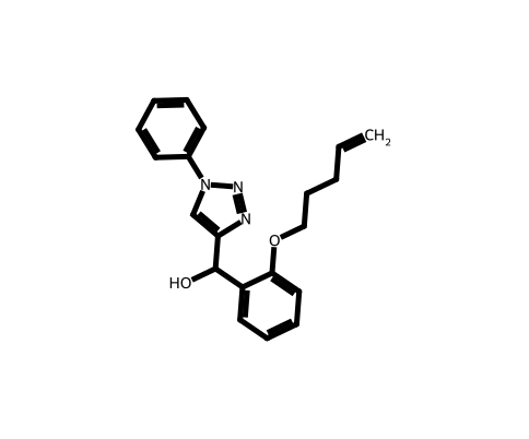 C=CCCCOc1ccccc1C(O)c1cn(-c2ccccc2)nn1